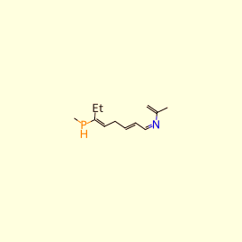 C=C(C)/N=C\C=CC/C=C(\CC)PC